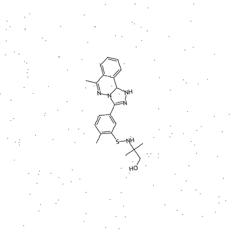 CC1=NN2C(c3ccc(C)c(SNC(C)(C)CO)c3)=NNC2c2ccccc21